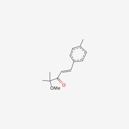 COC(C)(C)C(=O)C=Cc1ccc(C)cc1